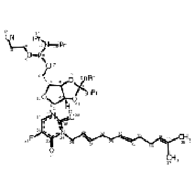 CCCC1(CCC)OC2[C@@H](COP(OCCC#N)N(C(C)C)C(C)C)O[C@@H](n3cc(F)c(=O)n(C/C=C/CC/C=C/CCC=C(C)C)c3=O)[C@H]2O1